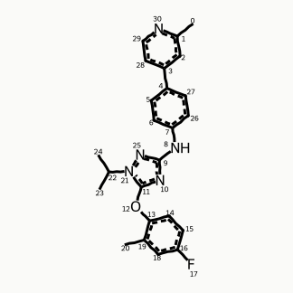 Cc1cc(-c2ccc(Nc3nc(Oc4ccc(F)cc4C)n(C(C)C)n3)cc2)ccn1